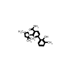 Cc1cccc(-c2ccc(C(N)=O)c(N3C[C@@H](C)CC3(C)C)n2)c1O